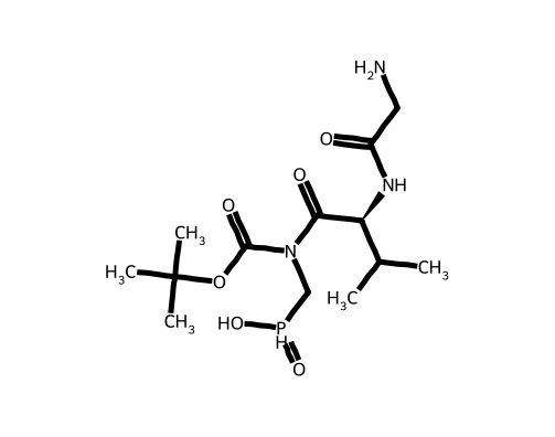 CC(C)[C@H](NC(=O)CN)C(=O)N(C[PH](=O)O)C(=O)OC(C)(C)C